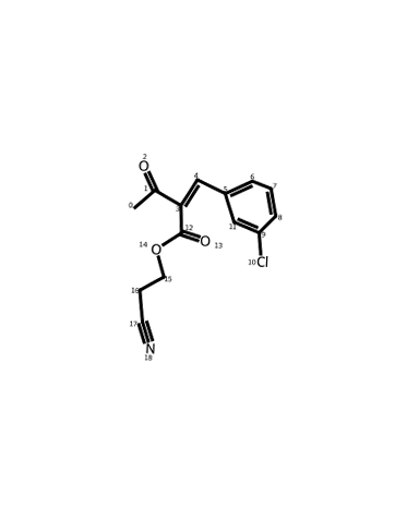 CC(=O)/C(=C/c1cccc(Cl)c1)C(=O)OCCC#N